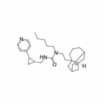 CCCCCN(CCC12CCCC3CC(C[C@@H]1C3)C2)C(=O)NCC1CC1c1ccncc1